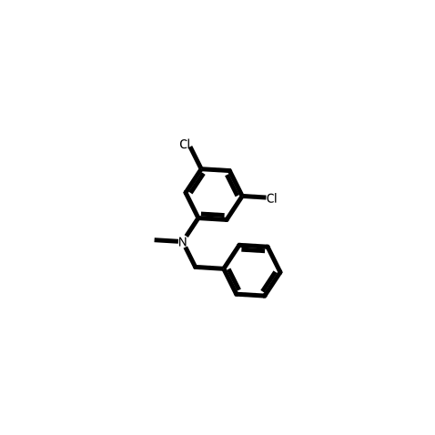 CN(Cc1ccccc1)c1cc(Cl)cc(Cl)c1